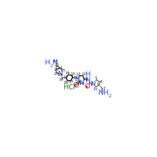 Cl.NC[C@@H]1CCN(C(=O)Nc2ccn(-c3ccc(CN4CC5C(N)C5C4)cc3)c(=O)n2)C1